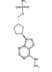 CNc1ncnc2c1ccn2[C@H]1CC[C@H](COS(N)(=O)=O)C1